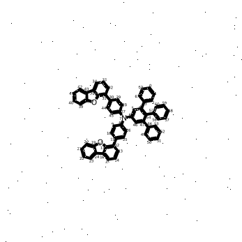 c1ccc(-c2cc(N(c3ccc(-c4cccc5c4oc4ccccc45)cc3)c3ccc(-c4cccc5c4oc4ccccc45)cc3)cc(-c3ccccc3)c2-c2ccccc2)cc1